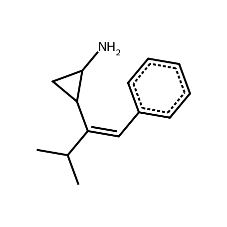 CC(C)C(=Cc1ccccc1)C1CC1N